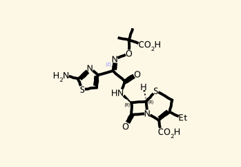 CCC1=C(C(=O)O)N2C(=O)[C@@H](NC(=O)/C(=N\OC(C)(C)C(=O)O)c3csc(N)n3)[C@H]2SC1